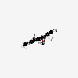 N#Cc1ccc(-c2ccc(CC(NC(=O)C3Cc4cc5c(cc4CN3Cc3ncc[nH]3)OC(c3ccc(OCc4ccc(Cl)c(Cl)c4)cc3)C(=O)N5)C(=O)O)cc2)cc1